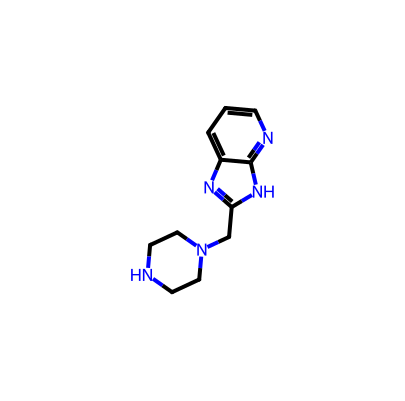 c1cnc2[nH]c(CN3CCNCC3)nc2c1